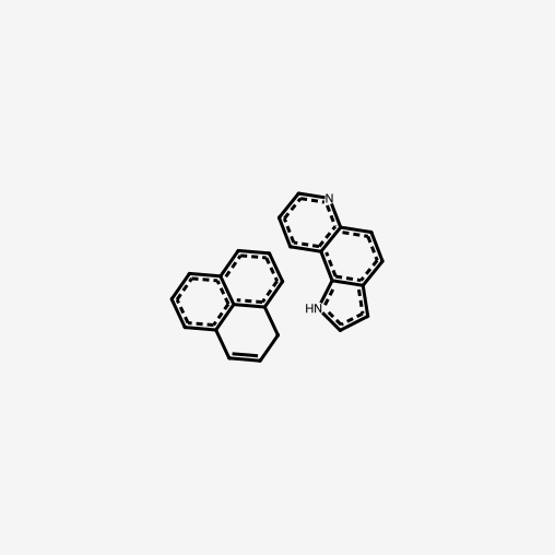 C1=Cc2cccc3cccc(c23)C1.c1cnc2ccc3cc[nH]c3c2c1